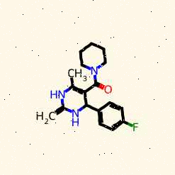 C=C1NC(C)=C(C(=O)N2CCCCC2)C(c2ccc(F)cc2)N1